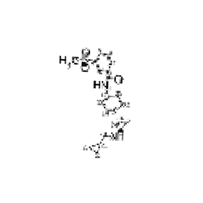 CS(=O)(=O)c1cccc(C(=O)Nc2ccc([C@@H]3C[C@H]3NCC3CC3)cc2)c1